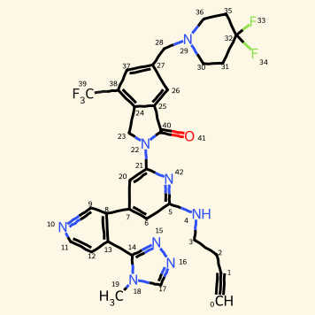 C#CCCNc1cc(-c2cnccc2-c2nncn2C)cc(N2Cc3c(cc(CN4CCC(F)(F)CC4)cc3C(F)(F)F)C2=O)n1